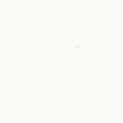 CCC1CCC(=[Si](C)C)C(C)C2=C1[CH]([Hf]([Cl])[Cl])C(C)=C2C1=CC=CC1